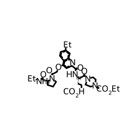 CCNC(=O)[C@@H]1CCCN1C(=O)COc1cc(C(=O)N[C@@H](CCC(=O)O)C(=O)N2CCN(C(=O)OCC)CC2)nc2cc(CC)ccc12